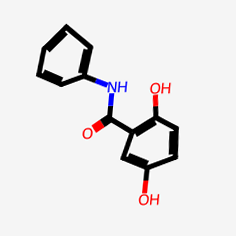 O=C(Nc1ccccc1)c1cc(O)ccc1O